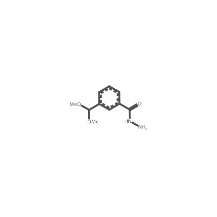 COC(OC)c1cccc(C(=O)NN)c1